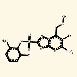 COCc1c(Cl)c(C)nc2nc(S(=O)(=O)Nc3c(C)cccc3Cl)nn12